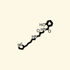 O=C(CNCCCCCC1CCSS1)CNC(=O)c1ccccc1O